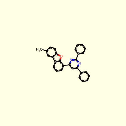 Cc1ccc2oc3c(-c4cc(-c5ccccc5)nc(-c5ccccc5)n4)cccc3c2c1